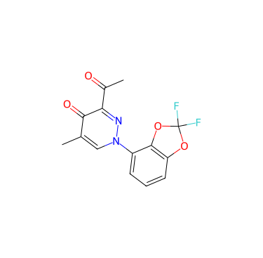 CC(=O)c1nn(-c2cccc3c2OC(F)(F)O3)cc(C)c1=O